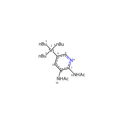 CCC[CH2][Sn]([CH2]CCC)([CH2]CCC)[c]1cnc(NC(C)=O)c(NC(C)=O)c1